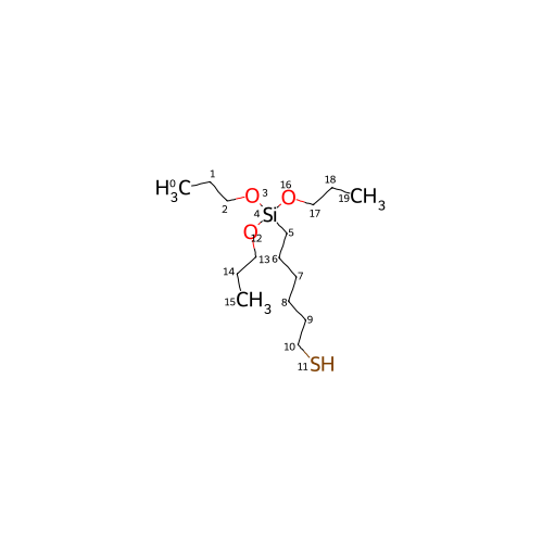 CCCO[Si](CCCCCCS)(OCCC)OCCC